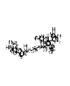 Cn1cc2c3c(c[nH]c3c1=O)CN(c1ncc(F)cc1F)c1cc(C(=O)NCCCCCCCNc3cccc4c3CN(C3CCC(=O)NC3=O)C4=O)c(CS(C)(=O)=O)cc1-2